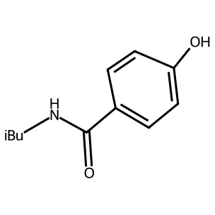 CCC(C)NC(=O)c1ccc(O)cc1